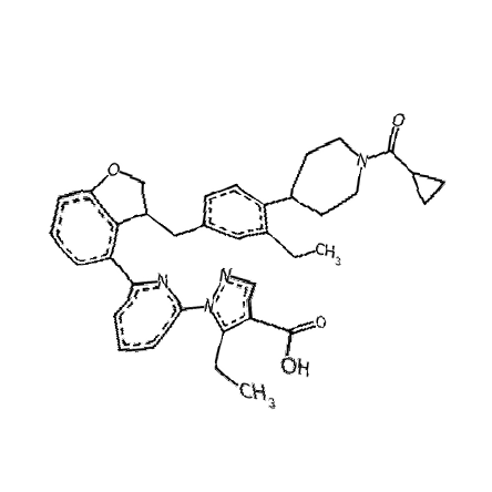 CCc1cc(CC2COc3cccc(-c4cccc(-n5ncc(C(=O)O)c5CC)n4)c32)ccc1C1CCN(C(=O)C2CC2)CC1